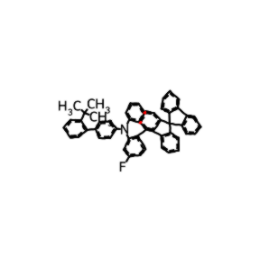 CC(C)(C)c1ccccc1-c1ccc(N(c2ccccc2)c2cc(F)ccc2-c2cccc3c2-c2ccccc2C32c3ccccc3-c3ccccc32)cc1